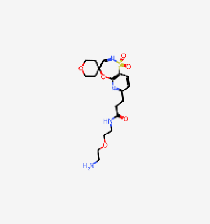 NCCOCCNC(=O)CCc1ccc2c(n1)OC1(C=NS2(=O)=O)CCOCC1